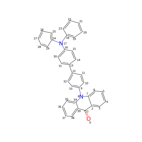 O=c1c2ccccc2n(-c2ccc(-c3ccc(N(c4ccccc4)c4ccccc4)cc3)cc2)c2ccccc12